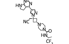 C[C@@H](NC(=O)N1CCN([C@H]2C[C@](CC#N)(n3cc(-c4ncnc5c4CCN5)cn3)C2)CC1)C(F)(F)F